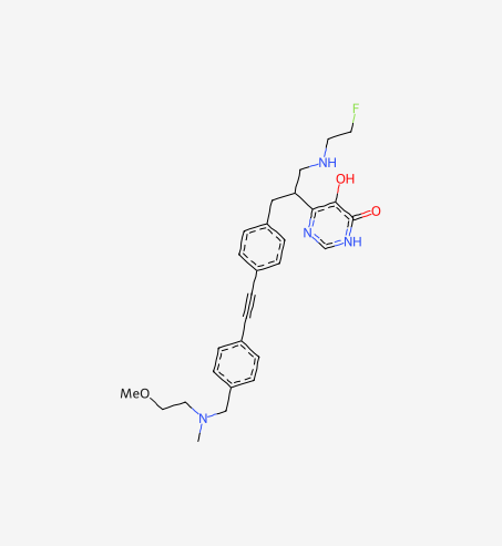 COCCN(C)Cc1ccc(C#Cc2ccc(CC(CNCCF)c3nc[nH]c(=O)c3O)cc2)cc1